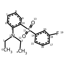 CCN(CC)c1ccccc1S(=O)(=O)c1cccc(F)c1